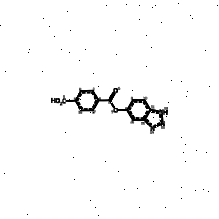 O=C(O)c1ccc(C(=O)Oc2ccc3[nH]nnc3c2)cc1